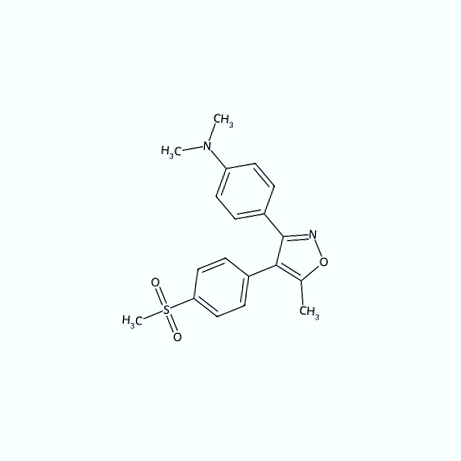 Cc1onc(-c2ccc(N(C)C)cc2)c1-c1ccc(S(C)(=O)=O)cc1